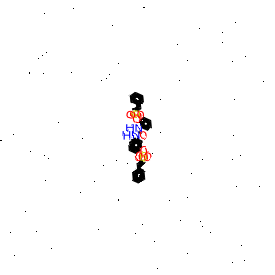 O=C(Nc1cccc(OS(=O)(=O)CCc2ccccc2)c1)Nc1ccccc1OS(=O)(=O)CCc1ccccc1